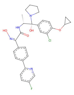 C[C@@H](NC(=O)C(=NO)c1ccc(-c2ccc(F)cn2)cc1)[C@](O)(c1ccc(OC2CC2)c(Cl)c1)N1CCCC1